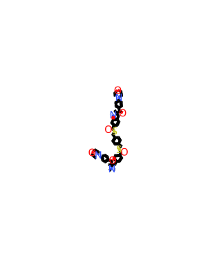 CN(C)C(C)(Cc1ccc(C(=O)SCc2ccc(CSC(=O)c3ccc(CC(C)(C(=O)c4ccc(N5CCOCC5)cc4)N(C)C)cc3)cc2)cc1)C(=O)c1ccc(N2CCOCC2)cc1